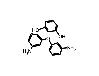 Nc1cccc(Oc2cccc(N)c2)c1.Oc1cccc(O)c1